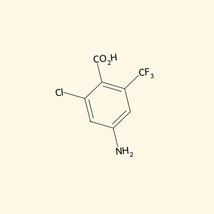 Nc1cc(Cl)c(C(=O)O)c(C(F)(F)F)c1